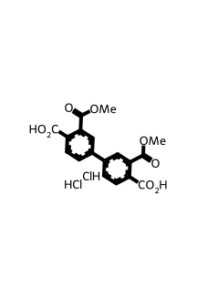 COC(=O)c1cc(-c2ccc(C(=O)O)c(C(=O)OC)c2)ccc1C(=O)O.Cl.Cl